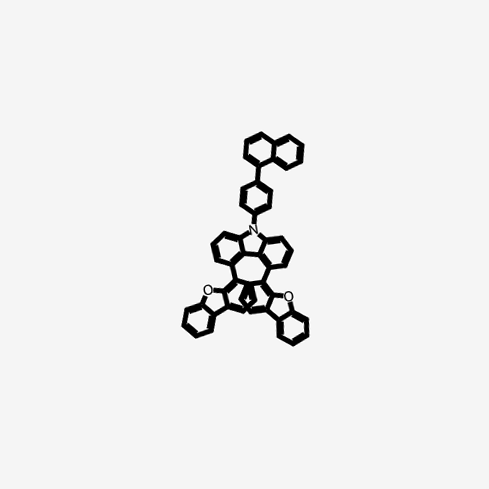 c1ccc2c(-c3ccc(-n4c5cccc(-c6cccc7c6oc6ccccc67)c5c5c(-c6cccc7c6oc6ccccc67)cccc54)cc3)cccc2c1